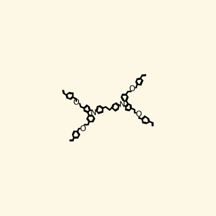 C=Cc1ccc(COCCc2ccc3c(c2)c2cc(CCOCc4ccc(C=C)cc4)ccc2n3-c2ccc(CCc3ccc(-n4c5ccc(CCOCc6ccc(C=C)cc6)cc5c5cc(CCOCc6ccc(C=C)cc6)ccc54)cc3)cc2)cc1